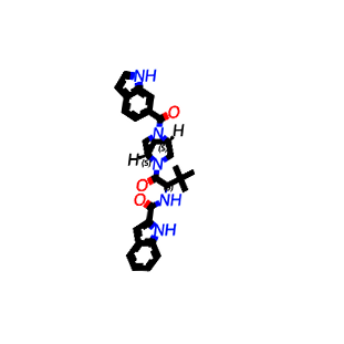 CC(C)(C)[C@H](NC(=O)c1cc2ccccc2[nH]1)C(=O)N1C[C@@H]2C[C@H]1CN2C(=O)c1ccc2cc[nH]c2c1